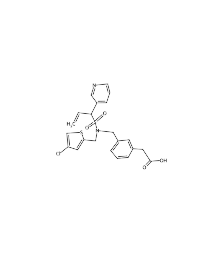 C=CC(c1cccnc1)S(=O)(=O)N(Cc1cccc(CC(=O)O)c1)Cc1cc(Cl)cs1